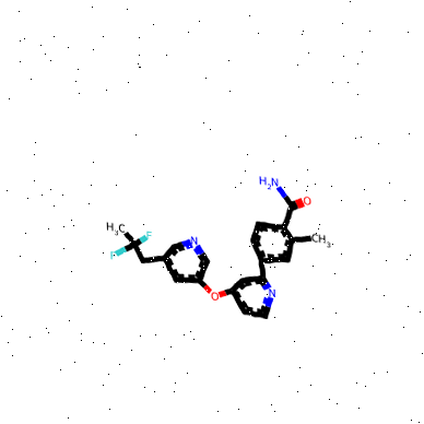 Cc1cc(-c2cc(Oc3cncc(CC(C)(F)F)c3)ccn2)ccc1C(N)=O